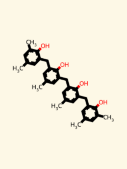 Cc1cc(C)c(O)c(Cc2cc(C)cc(Cc3cc(C)cc(Cc4cc(C)cc(C)c4O)c3O)c2O)c1